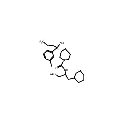 CNCC(CC1CCCCC1)NC(=O)N1CCC[C@@H](C(O)(CCC(F)(F)F)c2cccc(C)c2)C1